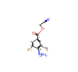 N#CCOC(=O)c1cc(Br)c(N)c(Br)c1